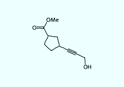 COC(=O)C1CCC(C#CCO)C1